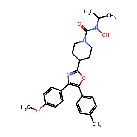 COc1ccc(-c2nc(C3CCN(C(=O)N(O)C(C)C)CC3)oc2-c2ccc(C)cc2)cc1